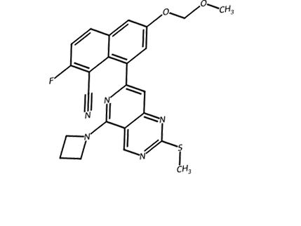 COCOc1cc(-c2cc3nc(SC)ncc3c(N3CCC3)n2)c2c(C#N)c(F)ccc2c1